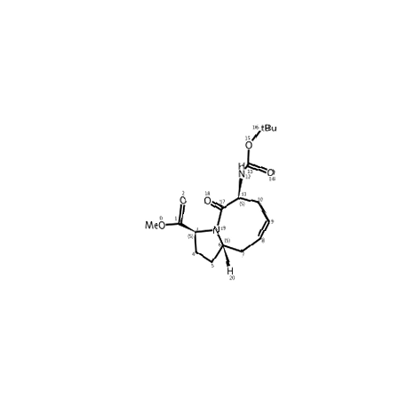 COC(=O)[C@@H]1CC[C@H]2CC=CC[C@H](NC(=O)OC(C)(C)C)C(=O)N21